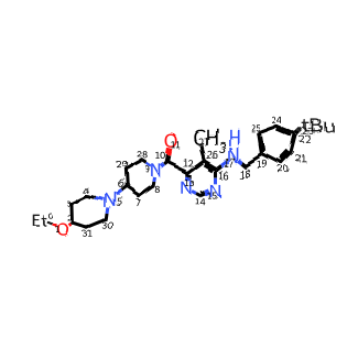 CCOC1CCN(C2CCN(C(=O)c3ncnc(NCc4ccc(C(C)(C)C)cc4)c3C)CC2)CC1